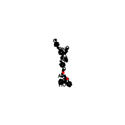 COc1ccc(COc2ccc(C(CNCc3ccc(OCCC[As](C)Cc4cnc(C(O)(c5ccccc5)c5ccccc5)o4)cc3)O[Si](C)(C)C(C)(C)C)c3ccc(=O)[nH]c23)cc1